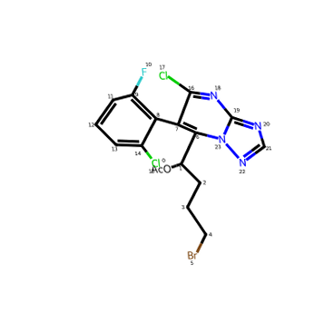 CC(=O)OC(CCCBr)c1c(-c2c(F)cccc2Cl)c(Cl)nc2ncnn12